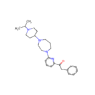 CC(C)N1CCC(N2CCCN(c3cccc(C(=O)Cc4ccccc4)n3)CC2)CC1